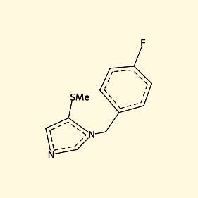 CSc1cncn1Cc1ccc(F)cc1